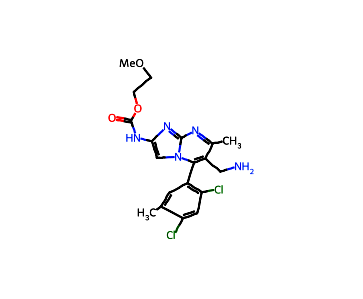 COCCOC(=O)Nc1cn2c(-c3cc(C)c(Cl)cc3Cl)c(CN)c(C)nc2n1